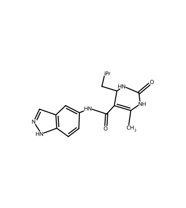 CC1=C(C(=O)Nc2ccc3[nH]ncc3c2)C(CC(C)C)NC(=O)N1